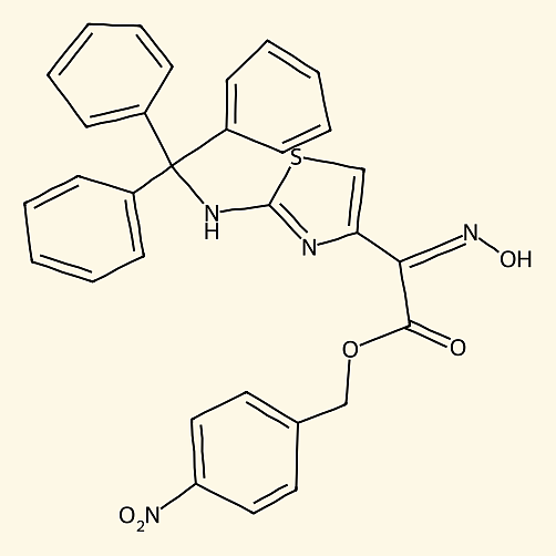 O=C(OCc1ccc([N+](=O)[O-])cc1)/C(=N\O)c1csc(NC(c2ccccc2)(c2ccccc2)c2ccccc2)n1